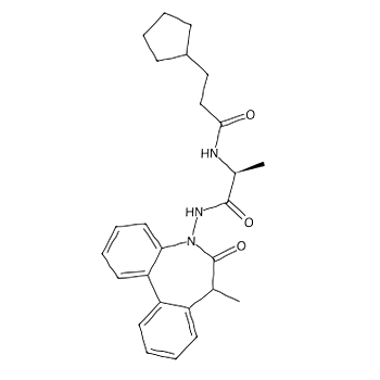 CC1C(=O)N(NC(=O)[C@H](C)NC(=O)CCC2CCCC2)c2ccccc2-c2ccccc21